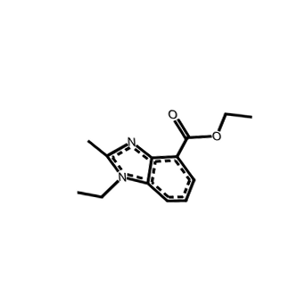 CCOC(=O)c1cccc2c1nc(C)n2CC